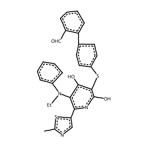 CCN(c1ccccc1)c1c(-c2cnc(C)s2)nc(O)c(Sc2ccc(-c3ccccc3C=O)cc2)c1O